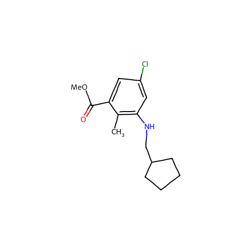 COC(=O)c1cc(Cl)cc(NCC2CCCC2)c1C